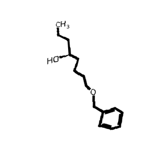 CCC[C@H](O)CCCCOCc1ccccc1